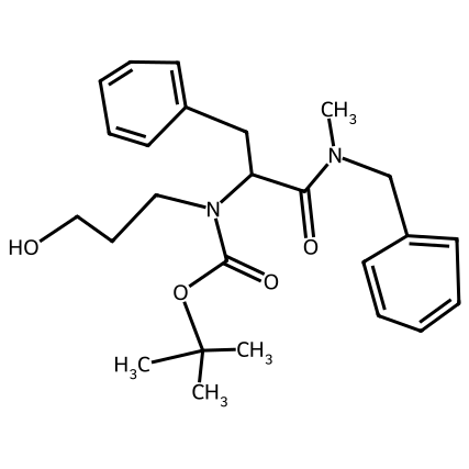 CN(Cc1ccccc1)C(=O)C(Cc1ccccc1)N(CCCO)C(=O)OC(C)(C)C